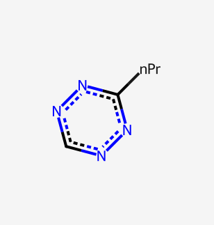 CCCc1nncnn1